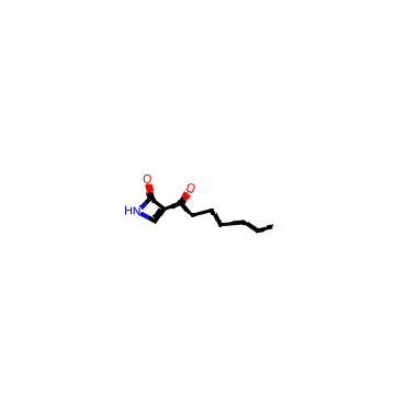 CCCCCCC(=O)C1=CNC1=O